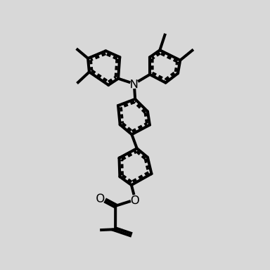 C=C(C)C(=O)Oc1ccc(-c2ccc(N(c3ccc(C)c(C)c3)c3ccc(C)c(C)c3)cc2)cc1